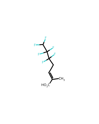 CC(=CCC(F)(F)C(F)(F)C(F)F)C(=O)O